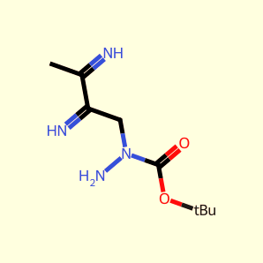 CC(=N)C(=N)CN(N)C(=O)OC(C)(C)C